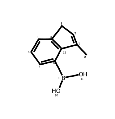 CC1=CCc2cccc(B(O)O)c21